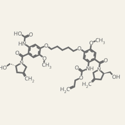 C=CCOC(=O)Nc1cc(OCCCCCOc2cc(NC(=O)O)c(C(=O)N3CC(=C)C[C@@H]3CO)cc2OC)c(OC)cc1C(=O)N1CC(=C)C[C@@H]1CO